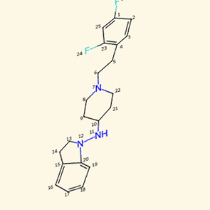 Fc1ccc(CCN2CCC(NN3CCc4ccccc43)CC2)c(F)c1